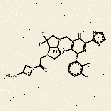 CCOC(=O)C1=C(CN2CC(F)(F)C3C2CCN3CC(=O)N2CC(C(=O)O)C2)NC(c2nccs2)=NC1c1cccc(F)c1C